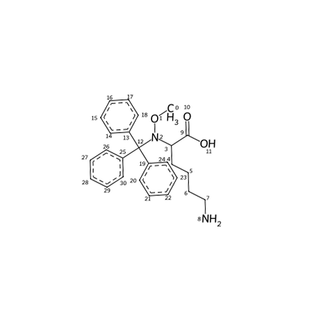 CON(C(CCCCN)C(=O)O)C(c1ccccc1)(c1ccccc1)c1ccccc1